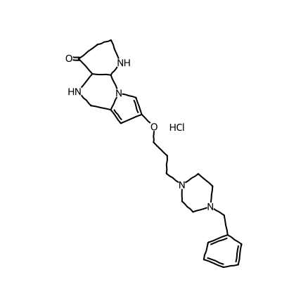 Cl.O=C1CCNC2C1NCc1cc(OCCCN3CCN(Cc4ccccc4)CC3)cn12